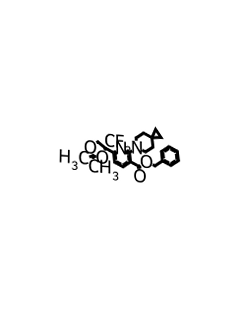 CC1(C)OCC(c2ccc(C(=O)OCc3ccccc3)c(N3CCC4(CC3)CC4)n2)(C(F)(F)F)O1